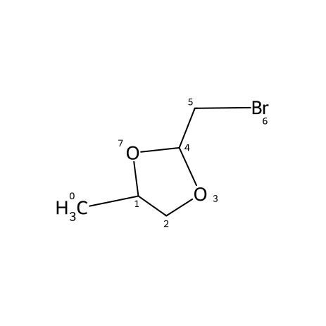 CC1COC(CBr)O1